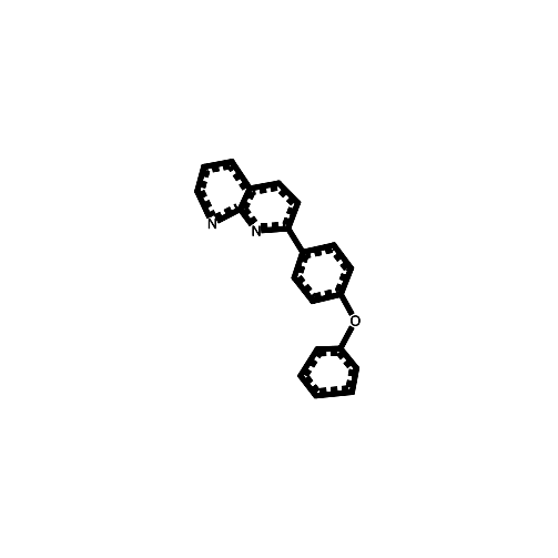 c1ccc(Oc2ccc(-c3ccc4cccnc4n3)cc2)cc1